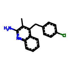 Cc1c(N)nc2ccccc2c1Cc1ccc(Cl)cc1